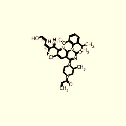 C=CC(=O)N1CCN(c2nc(=O)n(-c3c(OC)cccc3C(C)C)c3nc(C(=C)/C(F)=C\C=C/O)c(Cl)cc23)C(C)C1